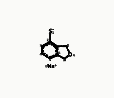 [Na+].[S-]c1cccc2c1COC2